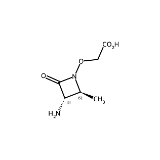 C[C@H]1[C@H](N)C(=O)N1OCC(=O)O